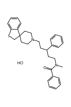 CN(CCC(CCN1CCC2(CC1)CSc1ccccc12)c1ccccc1)C(=O)c1ccccc1.Cl